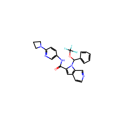 O=C(Nc1ccc(N2CCC2)nc1)c1cc2ccncc2n1C(OC(F)(F)F)c1ccccc1